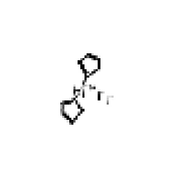 C1=CC[C]([Hf+2][C]2=CC=CC2)=C1.[I-].[I-]